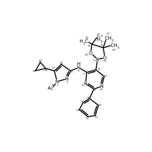 CC(=O)n1nc(Nc2nc(-c3ccccc3)ncc2B2OC(C)(C)C(C)(C)O2)cc1C1CC1